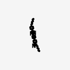 CCCCCCC[C@]1(C#N)CC[C@H](c2ccc(-c3ncc([C@H]4CC[C@H](CCCCCC)CC4)cn3)cc2)CC1